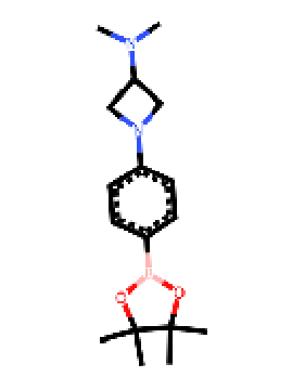 CN(C)C1CN(c2ccc(B3OC(C)(C)C(C)(C)O3)cc2)C1